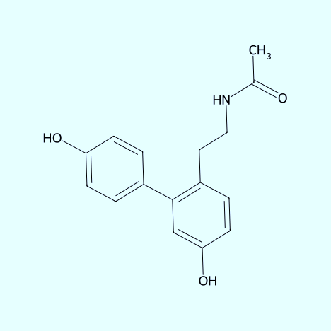 CC(=O)NCCc1ccc(O)cc1-c1ccc(O)cc1